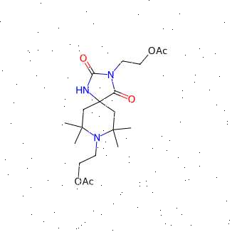 CC(=O)OCCN1C(=O)NC2(CC(C)(C)N(CCOC(C)=O)C(C)(C)C2)C1=O